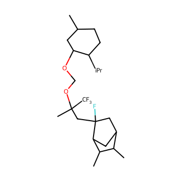 CC1CCC(C(C)C)C(OCOC(C)(CC2(F)CC3CC2C(C)C3C)C(F)(F)F)C1